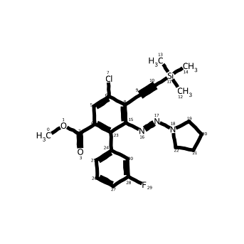 COC(=O)c1cc(Cl)c(C#C[Si](C)(C)C)c(/N=N/N2CCCC2)c1-c1cccc(F)c1